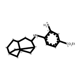 CCOC(=O)c1ccc(NC2CC3CCC4CC3CC2C4)c(N)c1